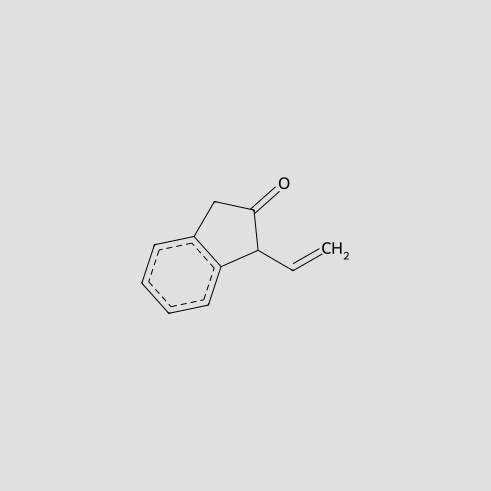 C=CC1C(=O)Cc2ccccc21